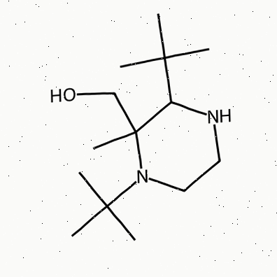 CC(C)(C)C1NCCN(C(C)(C)C)C1(C)CO